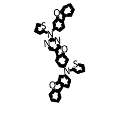 c1csc(N(c2ccc3c(c2)oc2ccccc23)c2ccc3c(c2)oc2nc(N(c4ccc5c(c4)oc4ccccc45)c4cccs4)ncc23)c1